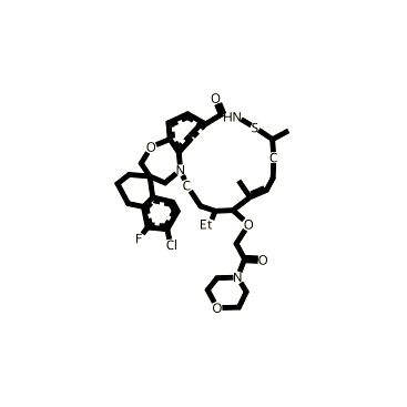 CCC1CCN2CC3(CCCc4c3ccc(Cl)c4F)COc3ccc(cc32)C(=O)NSC(C)CC/C=C(\C)C1OCC(=O)N1CCOCC1